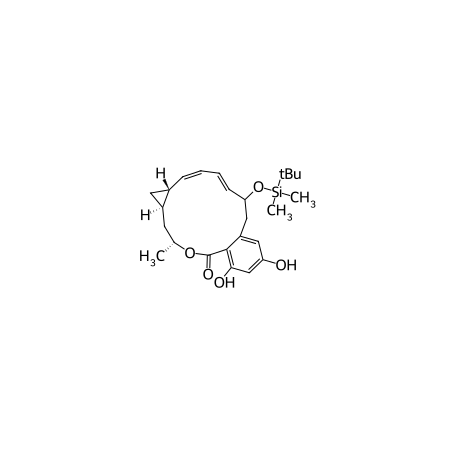 C[C@@H]1C[C@H]2C[C@@H]2/C=C\C=C\C(O[Si](C)(C)C(C)(C)C)Cc2cc(O)cc(O)c2C(=O)O1